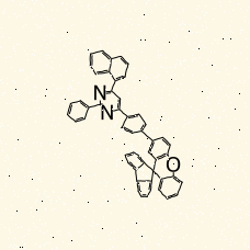 c1ccc(-c2nc(-c3ccc(-c4ccc5c(c4)C4(c6ccccc6O5)c5ccccc5-c5ccccc54)cc3)cc(-c3cccc4ccccc34)n2)cc1